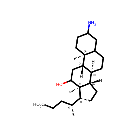 C[C@H](CCC(=O)O)[C@H]1CC[C@H]2[C@@H]3CCC4CC(N)CC[C@]4(C)[C@H]3CC(O)[C@]12C